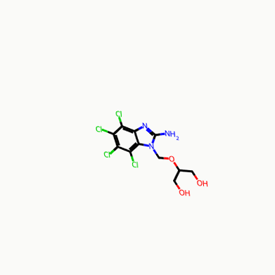 Nc1nc2c(Cl)c(Cl)c(Cl)c(Cl)c2n1COC(CO)CO